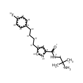 CC(C)(N)CNC(=O)c1cc(CCCCc2ccc(F)cc2)on1